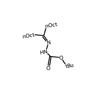 CCCCCCCCC(CCCCCCCC)=NNC(=O)OC(C)(C)C